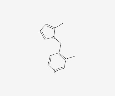 Cc1cnccc1Cn1cccc1C